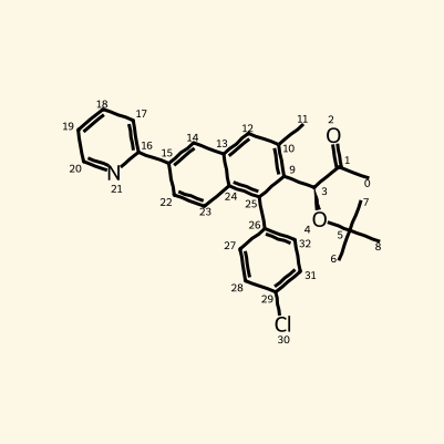 CC(=O)[C@@H](OC(C)(C)C)c1c(C)cc2cc(-c3ccccn3)ccc2c1-c1ccc(Cl)cc1